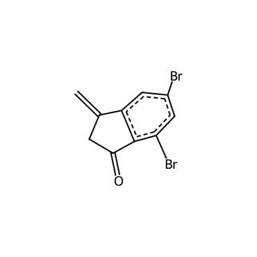 C=C1CC(=O)c2c(Br)cc(Br)cc21